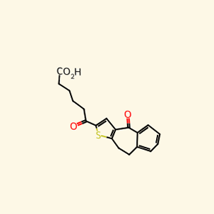 O=C(O)CCCCC(=O)c1cc2c(s1)CCc1ccccc1C2=O